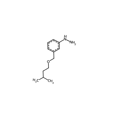 CC(C)CCOCc1cccc(NN)c1